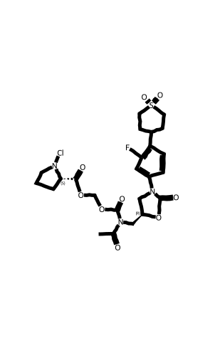 CC(=O)N(C[C@H]1CN(c2ccc(C3CCS(=O)(=O)CC3)c(F)c2)C(=O)O1)C(=O)OCOC(=O)[C@@H]1CCCN1Cl